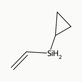 C=C[SiH2]C1CC1